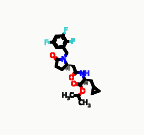 CC(C)OC(=O)[C@H](CC1CC1)NC(=O)C[C@@H]1CCC(=O)N1Cc1cc(F)cc(F)c1F